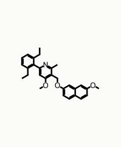 CCc1cccc(CC)c1-c1cc(OC)c(COc2ccc3ccc(OC)cc3c2)c(C)n1